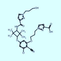 CC1(C)C(NC(=O)c2ccn(CCCO)n2)C(C)(C)C1Oc1cc(Cl)c(C#N)c(OCCCn2ccc(C(=O)O)n2)c1